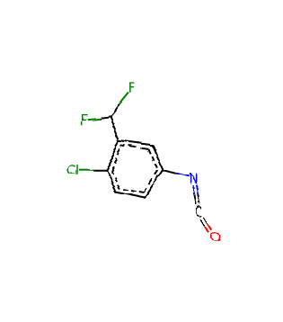 O=C=Nc1ccc(Cl)c(C(F)F)c1